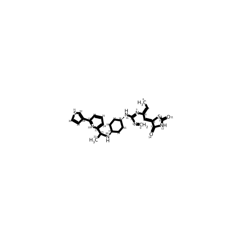 C=N\C(=N/C(=C\C)/C=C1\SC(=O)NC1=O)N[C@H]1CC[C@H](NC(C)c2cccc(-c3ccsc3)n2)CC1